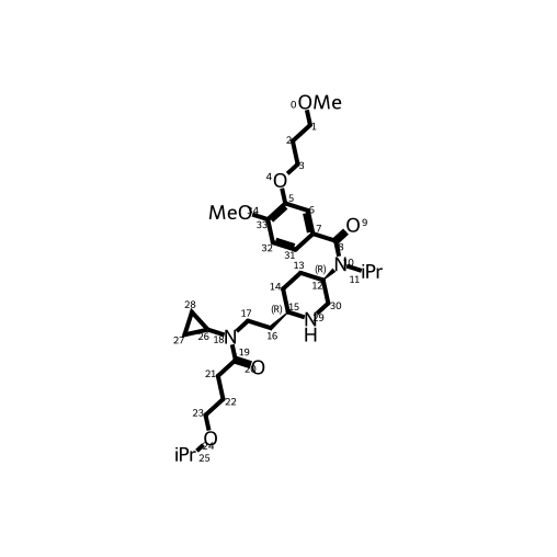 COCCCOc1cc(C(=O)N(C(C)C)[C@@H]2CC[C@H](CCN(C(=O)CCCOC(C)C)C3CC3)NC2)ccc1OC